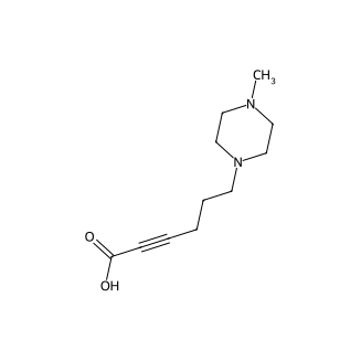 CN1CCN(CCCC#CC(=O)O)CC1